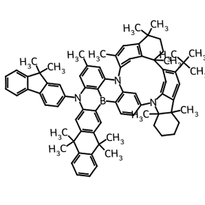 Cc1cc2c3c(c1)N1c4cc5c(cc4C)C(C)(C)CCC5(C)c4cc5c(cc4C(C)(C)C)C4(C)CCCCC4(C)N5c4ccc(c1c4)B3c1cc3c(cc1N2c1ccc2c(c1)C(C)(C)c1ccccc1-2)C(C)(C)c1ccccc1C3(C)C